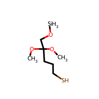 COC(CCCS)(CO[SiH3])OC